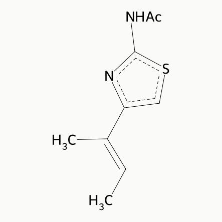 CC=C(C)c1csc(NC(C)=O)n1